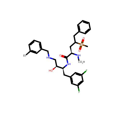 CCc1cccc(CNC[C@H](O)[C@H](Cc2cc(F)cc(F)c2)NC(=O)[C@@H](CC(Cc2ccccc2)S(C)(=O)=O)NC(=O)O)c1